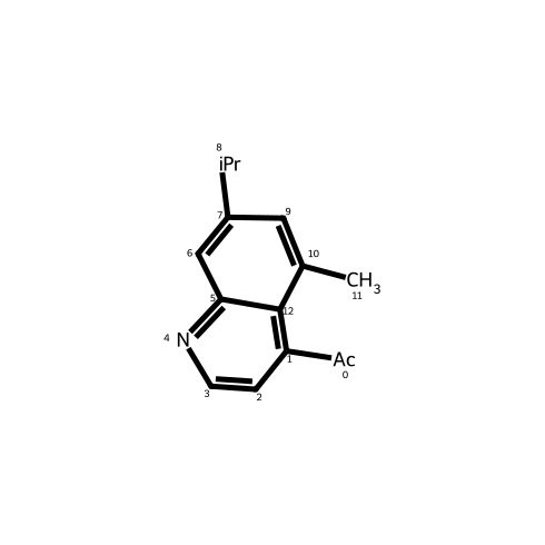 CC(=O)c1ccnc2cc(C(C)C)cc(C)c12